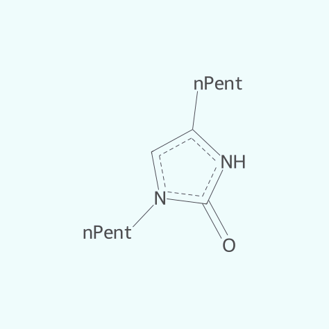 CCCCCc1cn(CCCCC)c(=O)[nH]1